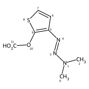 CN(C)N=Nc1ccsc1OC(=O)O